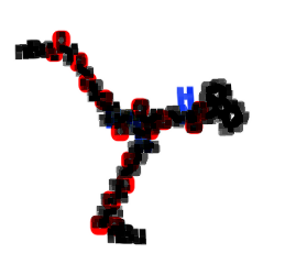 CCCCOC(=O)CCOCCOCCOCCN(C)C(=O)CN(CC(=O)N(C)CCOCCOCCOCCC(=O)OCCCC)C(=O)CCOCCNC(=O)OCC1c2ccccc2-c2ccccc21